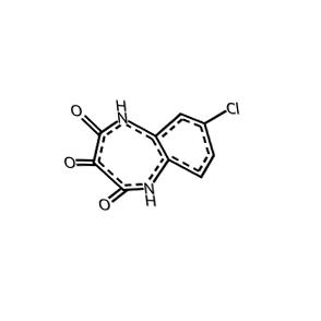 O=c1[nH]c2ccc(Cl)cc2[nH]c(=O)c1=O